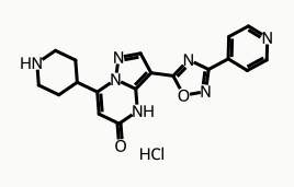 Cl.O=c1cc(C2CCNCC2)n2ncc(-c3nc(-c4ccncc4)no3)c2[nH]1